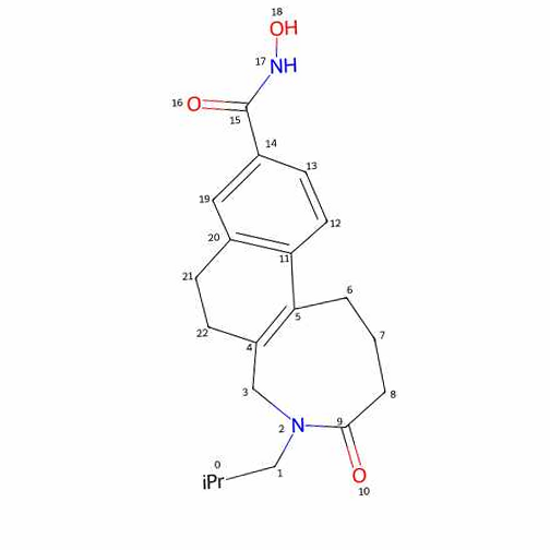 CC(C)CN1CC2=C(CCCC1=O)c1ccc(C(=O)NO)cc1CC2